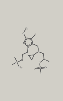 CCOc1nn(CCO[Si](C)(C)C(C)(C)C)c(CN(C[C@@H](C)OS(C)(=O)=O)C2CC2)c1I